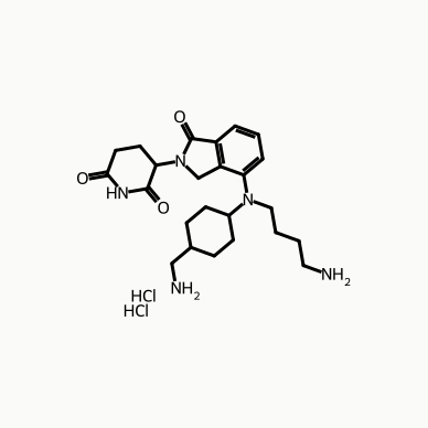 Cl.Cl.NCCCCN(c1cccc2c1CN(C1CCC(=O)NC1=O)C2=O)C1CCC(CN)CC1